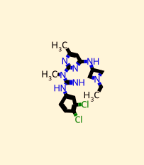 CCN1CC(Nc2cc(C)nc(N(C)C(=N)Nc3ccc(Cl)c(Cl)c3)n2)C1